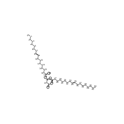 CCCCCCCCC=CCCCCCCCC(=O)OC(CC=O)OC(=O)CCCCCCCC=CCCCCCCCC